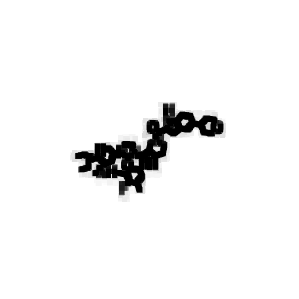 CCP(CC)c1ncc(-n2ccn(-c3c4c(nn3-c3cc(C)c(F)c(C)c3)CCN(C(=O)c3cc5cc(C6CCOCC6)ccc5[nH]3)C4)c2=O)cc1NC